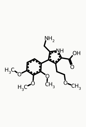 COCCc1c(C(=O)O)[nH]c(CN)c1-c1ccc(OC)c(OC)c1OC